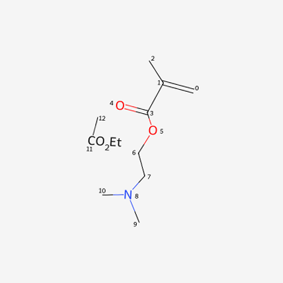 C=C(C)C(=O)OCCN(C)C.CCOC(C)=O